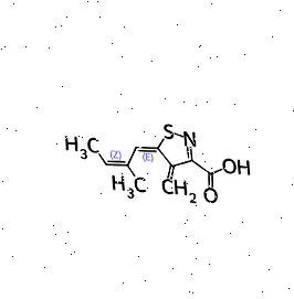 C=c1c(C(=O)O)ns/c1=C/C(C)=C\C